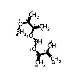 BOC(=C)C(=C)OBOC(=C)C(=C)O